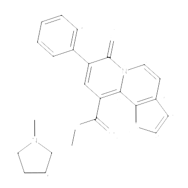 CN1CCC[C@H]1COC(=O)c1cc(-c2ccccc2)c(=O)n2ccc3ccsc3c12